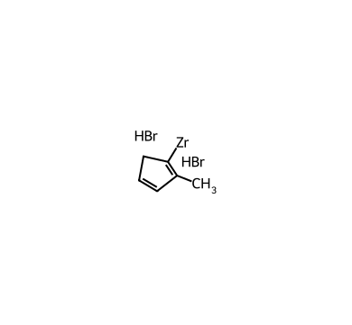 Br.Br.CC1=[C]([Zr])CC=C1